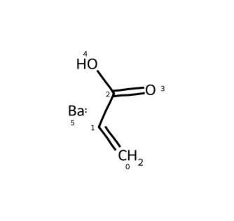 C=CC(=O)O.[Ba]